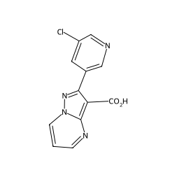 O=C(O)c1c(-c2cncc(Cl)c2)nn2cccnc12